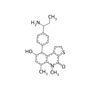 CCC(N)c1ccc(-c2c(O)cc(C)c3c2c2ccsc2c(=O)n3C)cc1